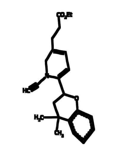 C#CN1CC(CCC(=O)OCC)=CC=C1C1CC(C)(C)c2ccccc2O1